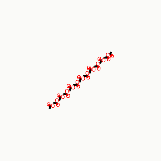 CC(=O)OCC(=O)OCC(=O)OCC(=O)OCC(=O)OCC(=O)OCC(=O)OCC(=O)OCC(=O)OCC(=O)OCC(=O)OCC(=O)OC(C)=O